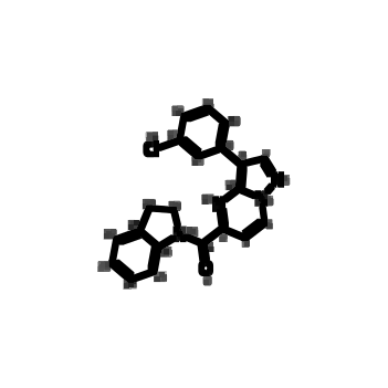 O=C(c1ccn2ncc(-c3cccc(Cl)c3)c2n1)N1CCc2ccccc21